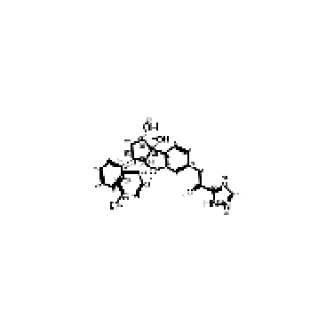 O=C(Cc1ccc2c(c1)O[C@@]1(c3ccc(Cl)cc3)[C@H](c3ccccc3)C[C@H](O)[C@@]21O)c1ncn[nH]1